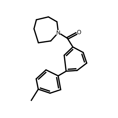 Cc1ccc(-c2cccc(C(=O)N3CCCCCC3)c2)cc1